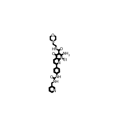 CCn1c(N)c(C(=O)NCCN2CCOCC2)c(=O)c2ccc(-c3ccc(NC(=O)NCc4cccnc4)cc3)nc21